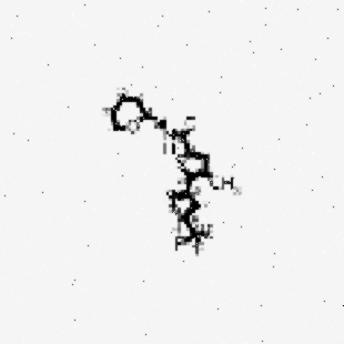 Cc1cc(C(=O)NOC2CCCCO2)sc1-c1cc(C(F)(F)F)[nH]n1